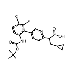 CC(C)(C)OC(=O)Nc1ccc(Cl)c(F)c1-c1ccc(C(CC2CC2)C(=O)O)nc1